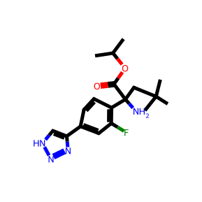 CC(C)OC(=O)C(N)(CC(C)(C)C)c1ccc(-c2c[nH]nn2)cc1F